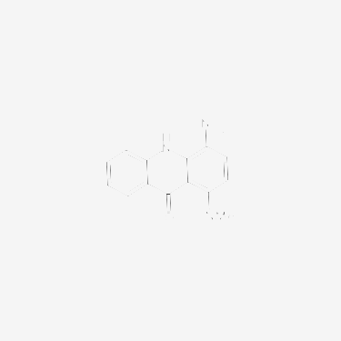 CNc1ccc([N+](=O)[O-])c2[nH]c3ccccc3c(=O)c12